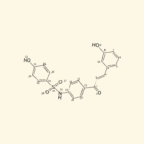 O=C(C=Cc1cccc(O)c1)c1ccc(NS(=O)(=O)c2ccc(O)cc2)cc1